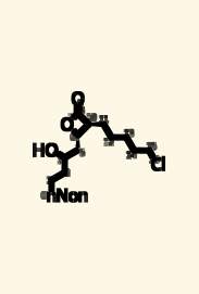 CCCCCCCCCCCC(O)C[C@@H]1OC(=O)[C@H]1CCCCCCl